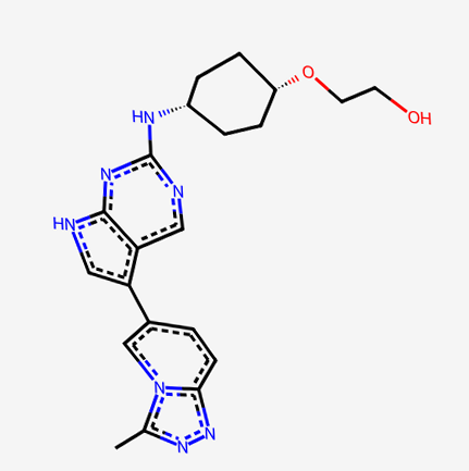 Cc1nnc2ccc(-c3c[nH]c4nc(N[C@H]5CC[C@@H](OCCO)CC5)ncc34)cn12